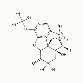 [2H]C([2H])([2H])Oc1ccc2c3c1OC1C(=O)C([2H])([2H])C[C@@]4(O)[C@H](N(C)CC[C@]314)C2([2H])[2H]